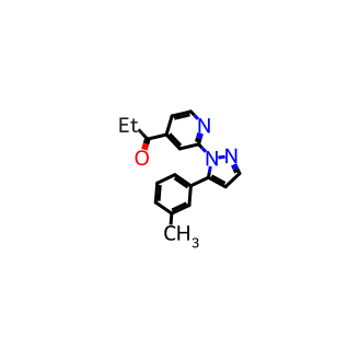 CCC(=O)c1ccnc(-n2nccc2-c2cccc(C)c2)c1